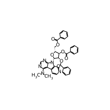 CN(C)c1ncnc2c1c1ccncc1n2[C@@H]1O[C@H](COC(=O)c2ccccc2)[C@@H](OC(=O)c2ccccc2)[C@H]1OC(=O)c1ccccc1